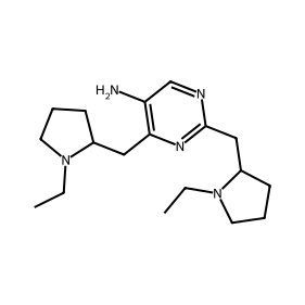 CCN1CCCC1Cc1ncc(N)c(CC2CCCN2CC)n1